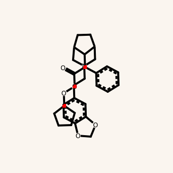 O=C(OOC1CCCC1)C(c1ccccc1)C1C2CCC1CN(CCc1ccc3c(c1)OCO3)C2